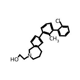 Cc1c(-c2ccc3c(c2)CCCN(CCO)C3)cccc1-c1ccccc1Cl